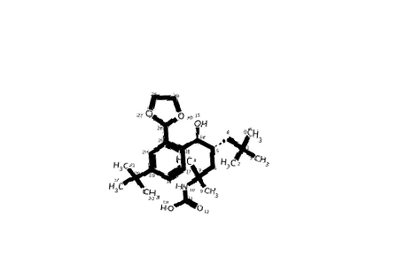 CC(C)(C)C[C@H](CC(C)(C)NC(=O)O)[C@H](O)c1ccc(C(C)(C)C)cc1C1OCCO1